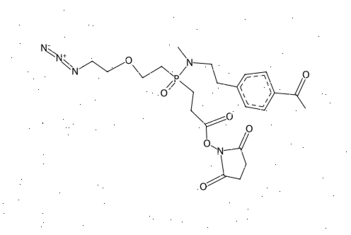 CC(=O)c1ccc(CCN(C)P(=O)(CCOCCN=[N+]=[N-])CCC(=O)ON2C(=O)CCC2=O)cc1